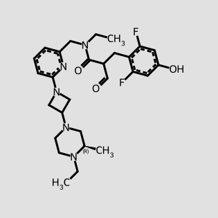 CCN(Cc1cccc(N2CC(N3CCN(CC)[C@H](C)C3)C2)n1)C(=O)C(C=O)Cc1c(F)cc(O)cc1F